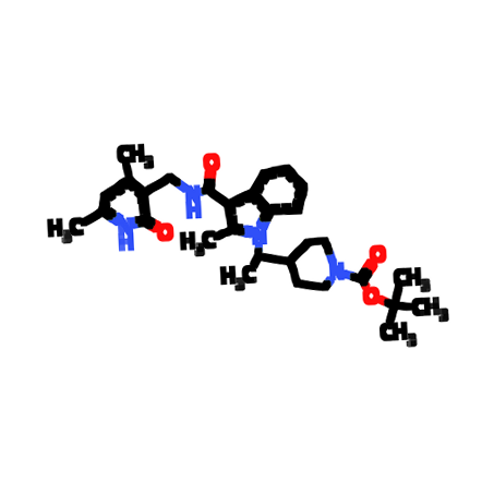 Cc1cc(C)c(CNC(=O)c2c(C)n(C(C)C3CCN(C(=O)OC(C)(C)C)CC3)c3ccccc23)c(=O)[nH]1